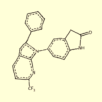 O=C1Cc2cc(-n3c(-c4ccccc4)cc4ccc(C(F)(F)F)nc43)ccc2N1